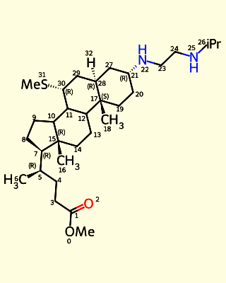 COC(=O)CC[C@@H](C)[C@H]1CCC2C3C(CC[C@@]21C)[C@@]1(C)CC[C@@H](NCCNC(C)C)C[C@@H]1C[C@H]3SC